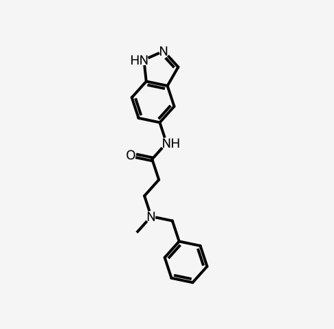 CN(CCC(=O)Nc1ccc2[nH]ncc2c1)Cc1ccccc1